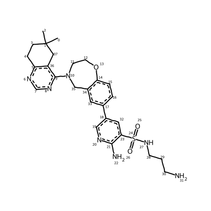 CC1(C)CCc2ncnc(N3CCOc4ccc(-c5cnc(N)c(S(=O)(=O)NCCCN)c5)cc4C3)c2C1